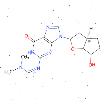 CN(C)/C=N\c1nc2c(ncn2C2C[C@H]3CCC(O)C3O2)c(=O)[nH]1